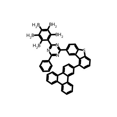 Bc1c(B)c(B)c(-c2nc(-c3ccccc3)nc(-c3ccc4sc5cccc(-c6ccc7c8ccccc8c8ccccc8c7c6)c5c4c3)n2)c(B)c1B